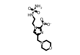 NS(=O)(=O)NCCn1cc(CN2CCOCC2)nc1[N+](=O)[O-]